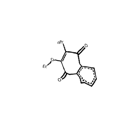 CCCC1=C(OCC)C(=O)c2ccccc2C1=O